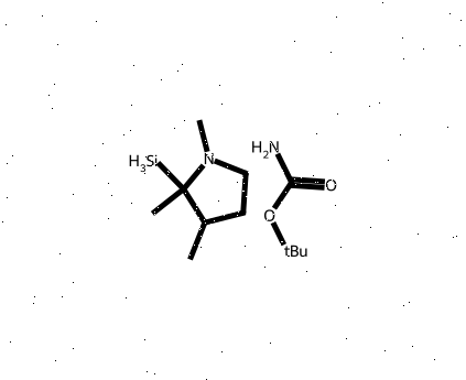 CC(C)(C)OC(N)=O.CC1CCN(C)C1(C)[SiH3]